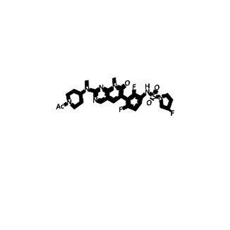 CC(=O)N1CCC(N(C)c2ncc3cc(-c4c(F)ccc(NS(=O)(=O)N5CC[C@@H](F)C5)c4F)c(=O)n(C)c3n2)CC1